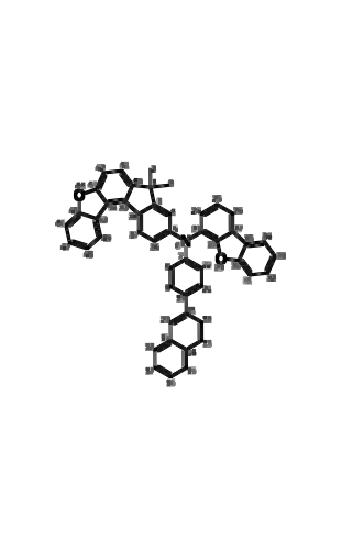 CC1(C)c2cc(N(c3ccc(-c4ccc5ccccc5c4)cc3)c3cccc4c3oc3ccccc34)ccc2-c2c1ccc1oc3ccccc3c21